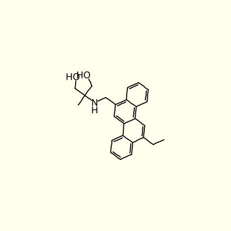 CCc1cc2c3ccccc3c(CNC(C)(CO)CO)cc2c2ccccc12